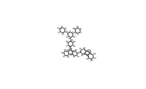 c1ccc(-c2cc(-c3ccccc3)cc(-c3ccc(-n4c5ccccc5c5ccc(-c6ccc7oc8ccccc8c7c6)cc54)cc3)c2)cc1